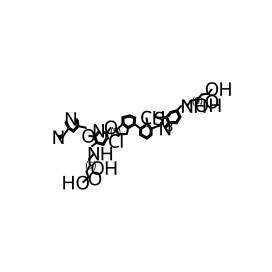 Cc1c(-c2nc3ccc(CNC[C@@H](O)CC(=O)O)cc3s2)cccc1-c1cccc2c1CC[C@@H]2Oc1nc(OCc2cncc(C#N)c2)c(CNC[C@@H](O)CC(=O)O)cc1Cl